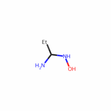 CCC(N)NO